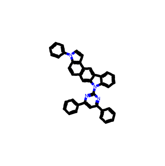 c1ccc(-c2cc(-c3ccccc3)nc(-n3c4ccccc4c4cc5c(ccc6c5ccn6-c5ccccc5)cc43)n2)cc1